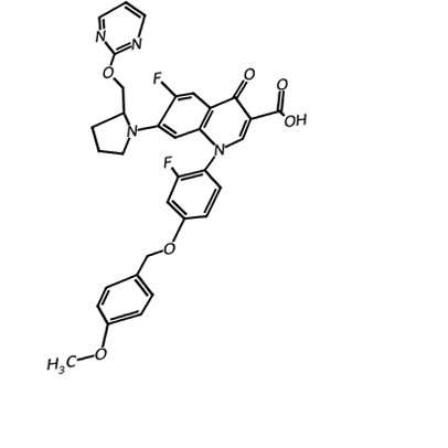 COc1ccc(COc2ccc(-n3cc(C(=O)O)c(=O)c4cc(F)c(N5CCCC5COc5ncccn5)cc43)c(F)c2)cc1